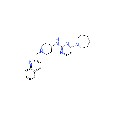 c1ccc2nc(CN3CCC(Nc4nccc(N5CCCCCC5)n4)CC3)ccc2c1